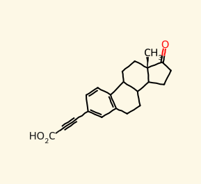 C[C@]12CCC3c4ccc(C#CC(=O)O)cc4CCC3C1CCC2=O